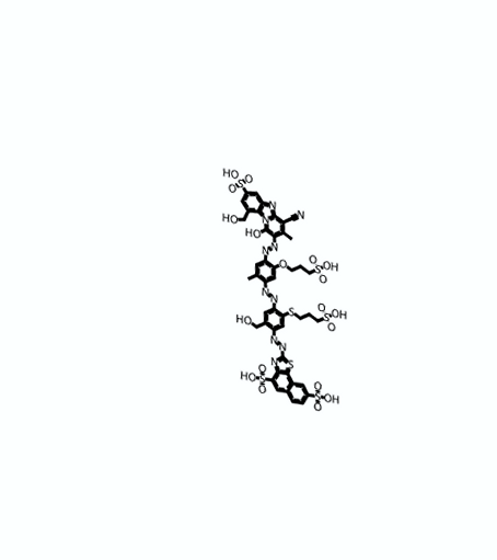 Cc1cc(N=Nc2c(C)c(C#N)c3nc4cc(S(=O)(=O)O)cc(CO)c4n3c2O)c(OCCCS(=O)(=O)O)cc1N=Nc1cc(CO)c(N=Nc2nc3c(S(=O)(=O)O)cc4ccc(S(=O)(=O)O)cc4c3s2)cc1SCCCS(=O)(=O)O